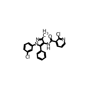 Cc1nn(-c2cccc(Cl)c2)c(-c2ccccc2)c1NC(=O)c1cccnc1Cl